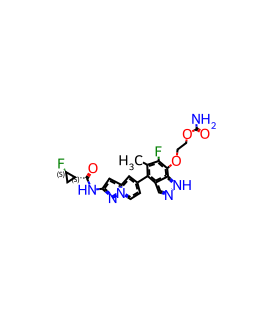 Cc1c(F)c(OCCOC(N)=O)c2[nH]ncc2c1-c1ccn2nc(NC(=O)[C@@H]3C[C@@H]3F)cc2c1